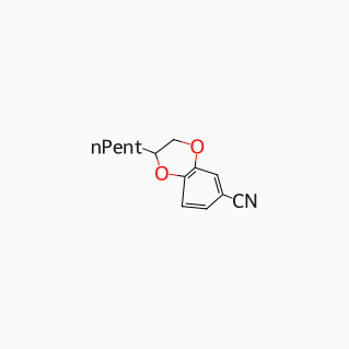 CCCCCC1COc2cc(C#N)ccc2O1